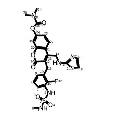 CNS(=O)(=O)Nc1cccc(Cc2c(CNc3nccs3)c3ccc(OC(=O)N(C)C)cc3oc2=O)c1F